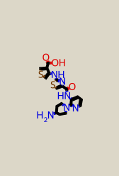 NC1CCN(c2ncccc2NC(=O)c2csc(Nc3cscc3C(=O)O)n2)CC1